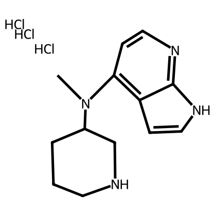 CN(c1ccnc2[nH]ccc12)C1CCCNC1.Cl.Cl.Cl